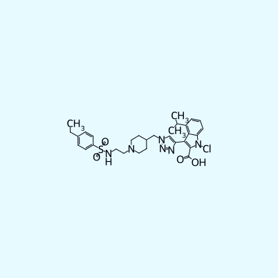 CCc1ccc(S(=O)(=O)NCCN2CCC(Cn3cc(-c4c(C(=O)O)n(Cl)c5cccc(C(C)C)c45)nn3)CC2)cc1